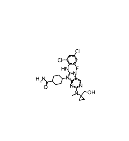 CN(c1ncc2nc(Nc3c(F)cc(Cl)cc3Cl)n(C3CCC(C(N)=O)CC3)c2n1)C1(CO)CC1